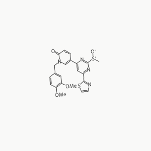 COc1ccc(Cn2cc(-c3cc(-c4nccs4)nc([S+](C)[O-])n3)ccc2=O)cc1OC